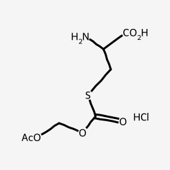 CC(=O)OCOC(=O)SCC(N)C(=O)O.Cl